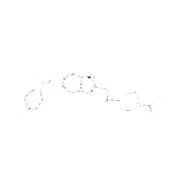 CC(C)(C)OC(=O)N1CCC(C(=O)Nc2nc3ccc(OS(=O)(=O)c4ccc(F)cc4)cc3s2)CC1